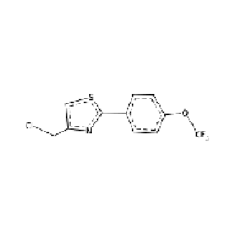 FC(F)(F)Oc1ccc(-c2nc(CCl)cs2)cc1